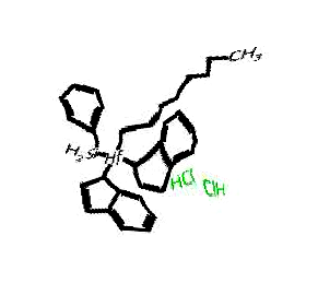 CCCCCCC[CH2][Hf]([SiH2]c1ccccc1)([CH]1C=Cc2ccccc21)[CH]1C=Cc2ccccc21.Cl.Cl